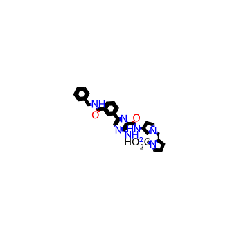 Nc1ncc(-c2cccc(C(=O)NCc3ccccc3)c2)nc1C(=O)N[C@H]1CCN(C[C@H]2CCCN2C(=O)O)C1